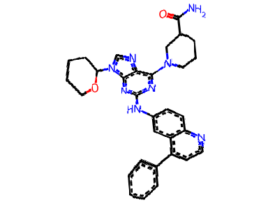 NC(=O)C1CCCN(c2nc(Nc3ccc4nccc(-c5ccccc5)c4c3)nc3c2ncn3C2CCCCO2)C1